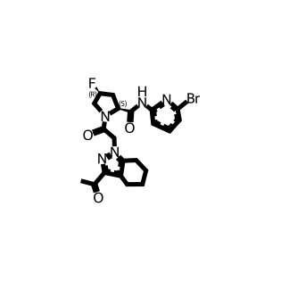 CC(=O)c1nn(CC(=O)N2C[C@H](F)C[C@H]2C(=O)Nc2cccc(Br)n2)c2c1CCCC2